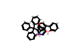 c1ccc(C2(c3ccccc3Nc3cccc4c3oc3ccccc34)c3ccccc3-c3ccccc32)cc1